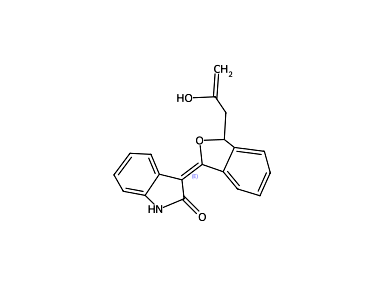 C=C(O)CC1O/C(=C2/C(=O)Nc3ccccc32)c2ccccc21